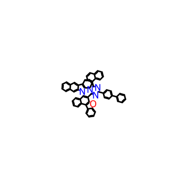 C1=Cc2c(n(-c3c(-c4nc(-c5ccc(-c6ccccc6)cc5)nc(-c5cccc6ccccc56)n4)c4oc5ccccc5c4c4ccccc34)c3cc4ccccc4cc23)CC1